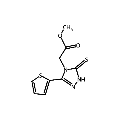 COC(=O)Cn1c(-c2cccs2)n[nH]c1=S